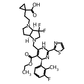 CCOC(=O)C1=C(CN2CC(F)(F)[C@H]3[C@@H]2CCN3CCC2(C(=O)O)CC2)NC(c2nccs2)=N[C@H]1c1cccc(F)c1C